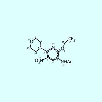 CC(=O)Nc1cc([N+](=O)[O-])c(N2CCOCC2)nc1OCC(F)(F)F